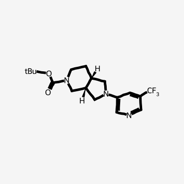 CC(C)(C)OC(=O)N1CC[C@@H]2CN(c3cncc(C(F)(F)F)c3)C[C@@H]2C1